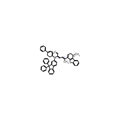 C=C/C(=C\C=C(/C)C1=CC[C@@H](C)c2c1sc1ccccc21)N(C1=CC=C(c2ccccc2)CC1)c1ccc2c(c1)C(c1ccccc1)(c1ccccc1)c1ccccc1-2